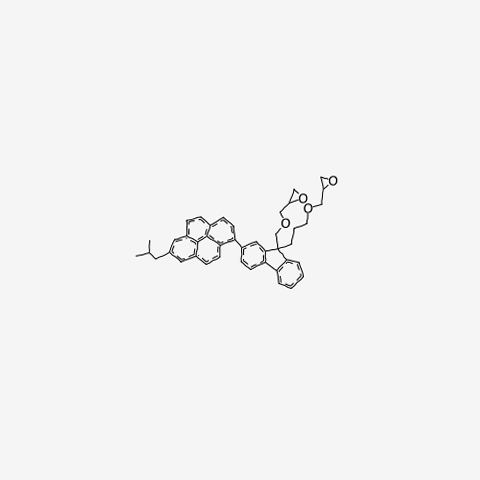 CC(C)Cc1cc2ccc3ccc(-c4ccc5c(c4)C(CCCOCC4CO4)(COCC4CO4)c4ccccc4-5)c4ccc(c1)c2c34